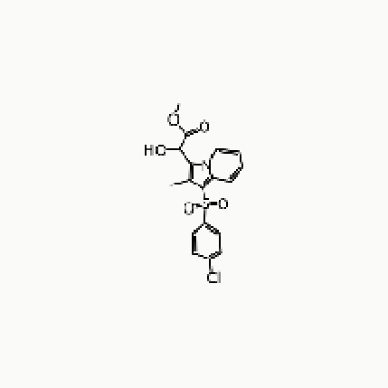 COC(=O)C(O)c1c(C)c(S(=O)(=O)c2ccc(Cl)cc2)c2ccccn12